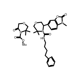 CC(C)(C)OC(=O)N1C(=O)COCC1(C)C.Cn1c(=O)oc2cc(C3COCC(C)(C)N3C(=O)NCCCCc3ccccc3)ccc21